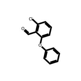 O=Cc1c(Cl)cccc1Oc1ccccc1